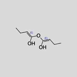 CC/C=C(\O)O/C(O)=C/CC